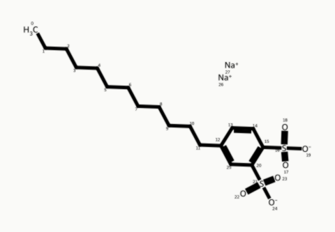 CCCCCCCCCCCCc1ccc(S(=O)(=O)[O-])c(S(=O)(=O)[O-])c1.[Na+].[Na+]